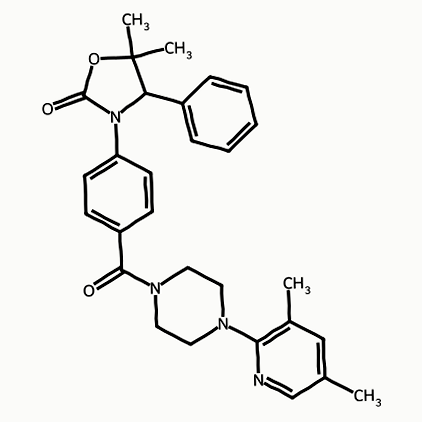 Cc1cnc(N2CCN(C(=O)c3ccc(N4C(=O)OC(C)(C)C4c4ccccc4)cc3)CC2)c(C)c1